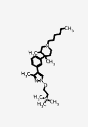 CCCCCCN1CCC(C)(c2cccc(-c3cn(OCC[Si](C)(C)C)nc3C)c2)C(C)C1